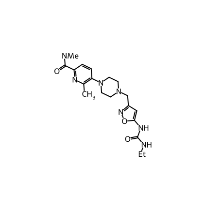 CCNC(=O)Nc1cc(CN2CCN(c3ccc(C(=O)NC)nc3C)CC2)no1